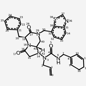 C=CCN(C(=O)NCC1=CCCC=C1)N1CC(=O)N2[C@@H](Cc3ccccc3)C(=O)N(Cc3cccc4ncsc34)C[C@@H]21